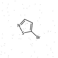 Brc1ccns1